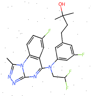 Cc1nnc2nc(N(CC(F)F)c3cc(F)cc(CCC(C)(C)O)c3)c3cc(F)ccc3n12